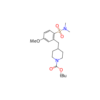 COc1ccc(S(=O)(=O)N(C)C)c(CC2CCN(C(=O)OC(C)(C)C)CC2)c1